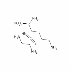 N=C=O.NCCCC[C@H](N)C(=O)O.NCCN